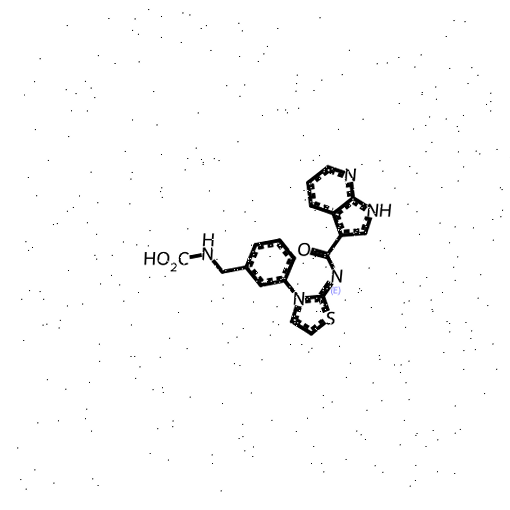 O=C(O)NCc1cccc(-n2ccs/c2=N/C(=O)c2c[nH]c3ncccc23)c1